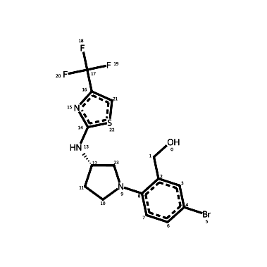 OCc1cc(Br)ccc1N1CC[C@H](Nc2nc(C(F)(F)F)cs2)C1